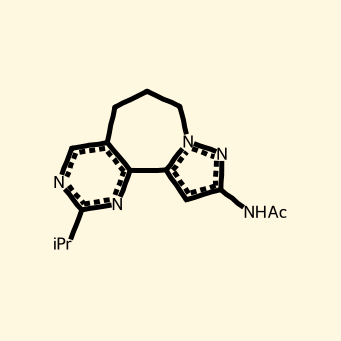 CC(=O)Nc1cc2n(n1)CCCc1cnc(C(C)C)nc1-2